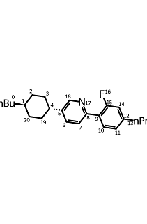 CCCC[C@H]1CC[C@H](c2ccc(-c3ccc(CCC)cc3F)nc2)CC1